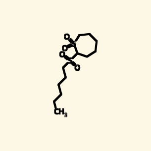 CCCCCCS(=O)(=O)C1CCCCCS1(=O)=O